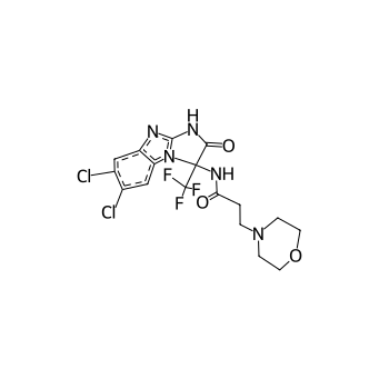 O=C(CCN1CCOCC1)NC1(C(F)(F)F)C(=O)Nc2nc3cc(Cl)c(Cl)cc3n21